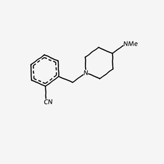 CNC1CCN(Cc2ccccc2C#N)CC1